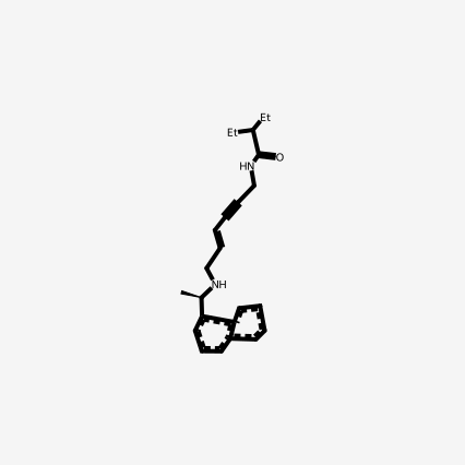 CCC(CC)C(=O)NCC#C/C=C/CN[C@H](C)c1cccc2ccccc12